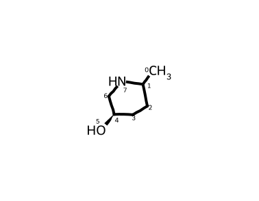 CC1CC[C@@H](O)CN1